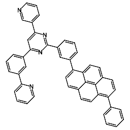 c1ccc(-c2ccc3ccc4c(-c5cccc(-c6nc(-c7cccnc7)cc(-c7cccc(-c8ccccn8)c7)n6)c5)ccc5ccc2c3c54)cc1